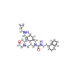 O=C(NCCc1cccc2ccccc12)N(CCCN1CCOCC1)Cc1ccc(CNCC2CC2)cc1